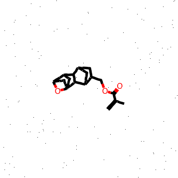 C=C(C)C(=O)OCC1CC2CC1C1C2C2CC13CC2O3